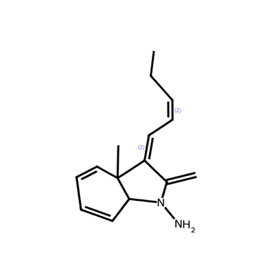 C=C1/C(=C\C=C/CC)C2(C)C=CC=CC2N1N